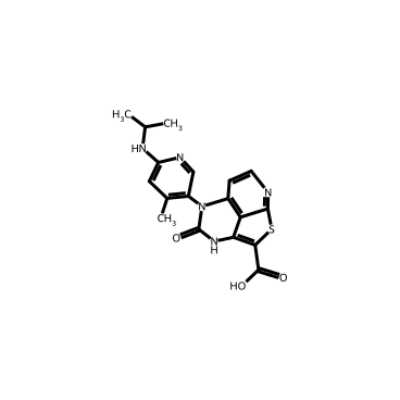 Cc1cc(NC(C)C)ncc1N1C(=O)Nc2c(C(=O)O)sc3nccc1c23